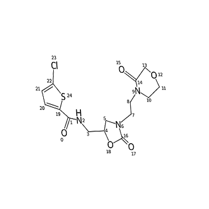 O=C(NCC1CN(CCN2CCOCC2=O)C(=O)O1)c1ccc(Cl)s1